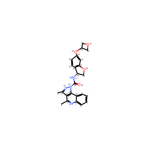 Cc1nc2ccccc2c2c1c(C)nn2C(=O)N[C@@H]1COc2cc(OC3COC3)ccc21